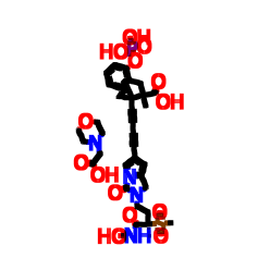 CC(Cc1ccccc1OP(=O)(O)O)(C(=O)O)C1(C#CC#Cc2cc3n(c2)C(=O)N(CC[C@](C)(C(=O)NO)S(C)(=O)=O)C3)CC1.O=C(O)CN1CCOCC1